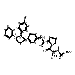 COC(=O)N[C@H](C(=O)N1CCC[C@H]1C(=O)Nc1ccc([C@H]2CC[C@H](c3ccccc3)N2c2ccc(F)cc2)cc1)C(C)(C)C